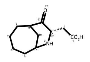 O=C(O)C[C@@H]1NC2CCCCC(C2)C1=O